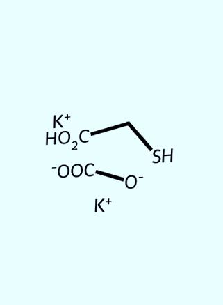 O=C(O)CS.O=C([O-])[O-].[K+].[K+]